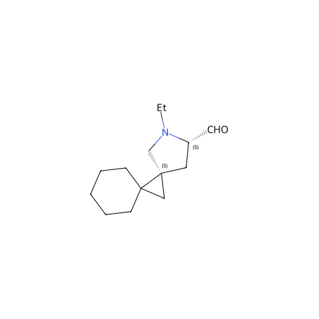 CCN1C[C@]2(C[C@H]1C=O)CC21CCCCC1